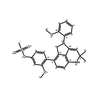 COc1cc(OS(C)(=O)=O)ccc1-c1ccc2c3c1CN(c1ccccc1OC)C3=CC(C)(C)N2